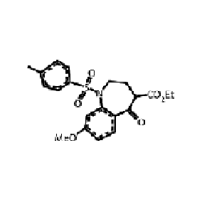 CCOC(=O)C1CCN(S(=O)(=O)c2ccc(C)cc2)c2cc(OC)ccc2C1=O